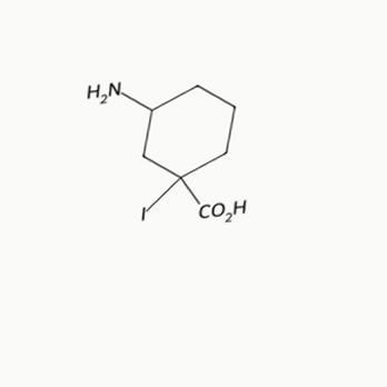 NC1CCCC(I)(C(=O)O)C1